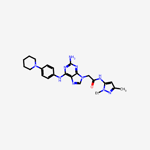 CCn1nc(C)cc1NC(=O)Cn1cnc2c(Nc3ccc(N4CCCCC4)cc3)nc(N)nc21